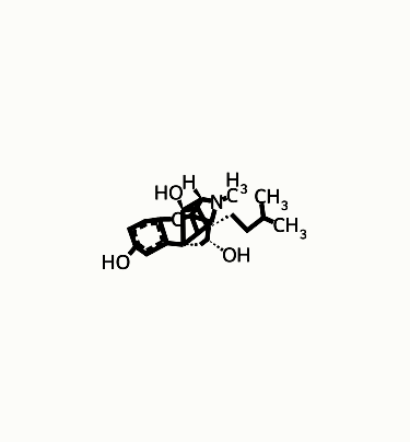 CC(C)CC[C@H]1C[C@@]2(O)[C@@H]3N(C)C4C5C43Cc3ccc(O)cc3[C@]52C[C@H]1O